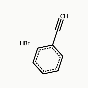 Br.C#Cc1ccccc1